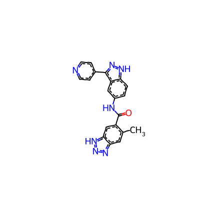 Cc1cc2nn[nH]c2cc1C(=O)Nc1ccc2[nH]nc(-c3ccncc3)c2c1